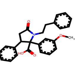 COc1cccc(C2(C(=O)O)C(c3ccccc3)CC(=O)N2CCc2ccccc2)c1